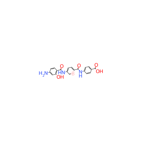 Nc1ccc(C(=O)Nc2cbc(C(=O)Nc3ccc(C(=O)O)cc3)cc2)c(O)c1